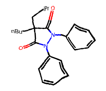 CCCCC1(CC(C)C)C(=O)N(c2ccccc2)N(c2ccccc2)C1=O